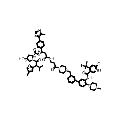 Cc1cc(C(C(=O)N2C[C@H](O)C[C@H]2C(=O)NC(CC(=O)NCCC(=O)N2CCN(Cc3cccc(-c4ccc(N5CCN(C)CC5)c(NC(=O)c5c[nH]c(=O)cc5C(F)(F)F)c4)c3)CC2)c2ccc(-c3scnc3C)cc2)C(C)C)on1